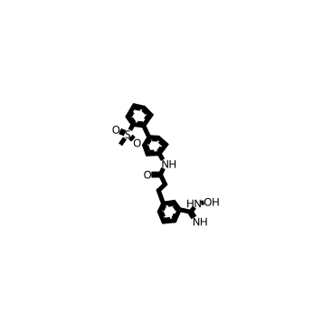 CS(=O)(=O)c1ccccc1-c1ccc(NC(=O)CCc2cccc(C(=N)NO)c2)cc1